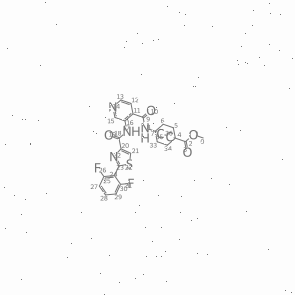 COC(=O)C12CCC(NC(=O)c3ccncc3NC(=O)c3csc(-c4c(F)cccc4F)n3)(CC1)CC2